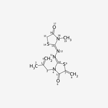 C=C(C)CN1C(=O)C(=C)SC1=NN=C1SCC(=O)N1C